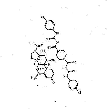 CC(=O)[C@H]1CC[C@H]2[C@@H]3C[C@H](C)C4=CC(=O)CC[C@]4(C)[C@H]3[C@@H](O)C[C@]12C.N=C(NC(=N)N1CCN(C(=N)NC(=N)Nc2ccc(Cl)cc2)CC1)Nc1ccc(Cl)cc1